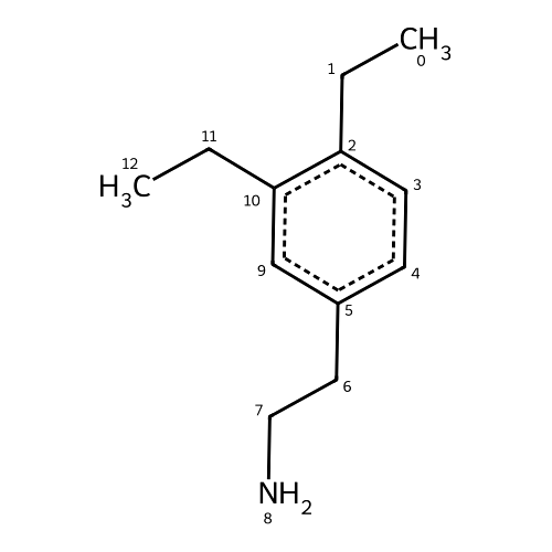 CCc1ccc(CCN)cc1CC